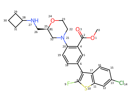 COC(=O)c1cc(-c2c(F)sc3cc(Cl)ccc23)ccc1N1CCO[C@H](CNC2CCC2)C1